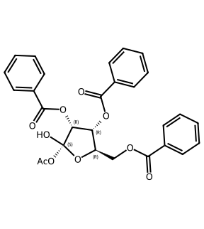 CC(=O)O[C@@]1(O)O[C@H](COC(=O)c2ccccc2)[C@@H](OC(=O)c2ccccc2)[C@H]1OC(=O)c1ccccc1